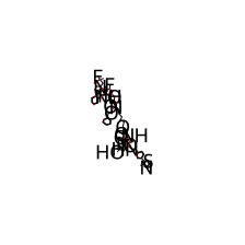 Cc1ncsc1-c1ccc(CNC(=O)[C@@H]2C[C@@H](O)CN2C(=O)[C@@H](NC(=O)COCCCCCN(CCOC2=CC(F)C(C)([C@@H]3c4[nH]c5ccccc5c4C[C@@H](C)N3CC(C)(C)F)C(F)=C2)C(=O)OCc2ccccc2)C(C)(C)C)cc1